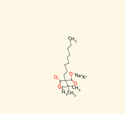 CCCCCCCCCC(C(=O)[O-])(C(=O)[O-])C(C)(C)C.[K+].[Na+]